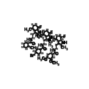 COc1ccc(C(=O)NCCc2c(C)[nH]c3c(F)ccc(C)c23)cc1OC.Cc1[nH]c2c(F)ccc(C)c2c1CCNC(=O)c1ccc(Br)cc1.Cc1ccccc1C(=O)NCCc1c(C)[nH]c2c(F)ccc(C)c12